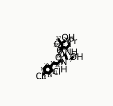 CC(C)CC(NC(=O)[C@H](CO)NC(=O)/C=C/c1ccc(Cl)cc1Cl)C(=O)C1(CO)CO1